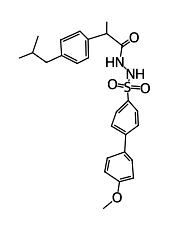 COc1ccc(-c2ccc(S(=O)(=O)NNC(=O)C(C)c3ccc(CC(C)C)cc3)cc2)cc1